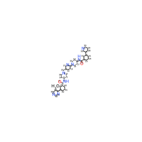 Cc1c(C(=O)NC2CCN(Cc3ccc(N4CCC(NC(=O)c5cccc(-c6cccnc6)c5)CC4)nc3)CC2)cccc1-c1ccncn1